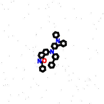 c1ccc(-c2cccc(N(c3ccc4ccc5nc(-c6ccccc6)oc5c4c3)c3ccc4c(c3)c3ccccc3n4-c3ccccc3)c2)cc1